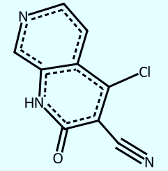 N#Cc1c(Cl)c2ccncc2[nH]c1=O